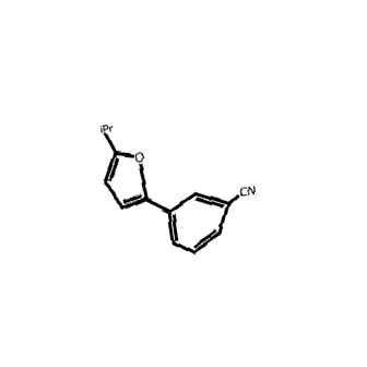 CC(C)c1ccc(-c2cccc(C#N)c2)o1